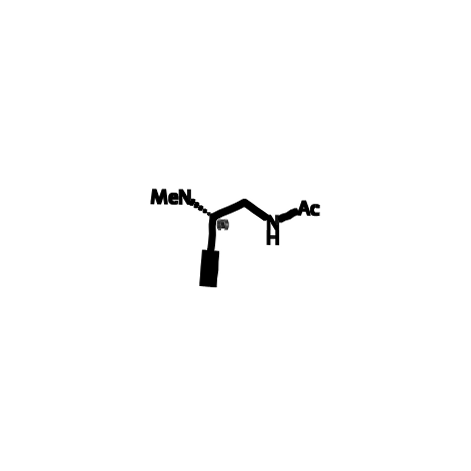 C#C[C@@H](CNC(C)=O)NC